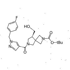 CC(C)(C)OC(=O)N1CC2(C1)CN(C(=O)c1cnn(Cc3ccc(F)cc3)c1)C[C@H]2CO